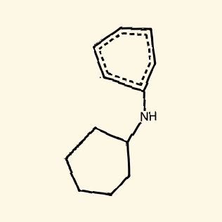 [c]1ccccc1NC1CCCCC1